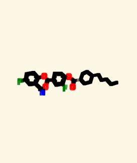 CCCCC[C@H]1CC[C@H](C(=O)Oc2ccc(C(=O)Oc3ccc(F)cc3C#N)cc2F)CC1